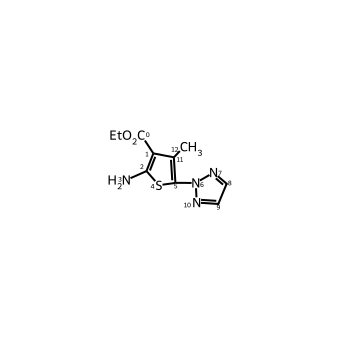 CCOC(=O)c1c(N)sc(-n2nccn2)c1C